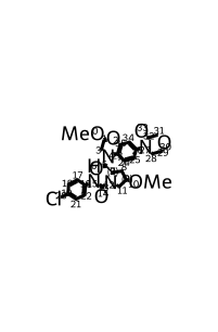 COC(=O)CN(C(=O)[C@H]1C[C@@H](OC)CN1C(=O)Nc1ccc(Cl)cc1)c1ccc(N2CCOCC2=O)cc1